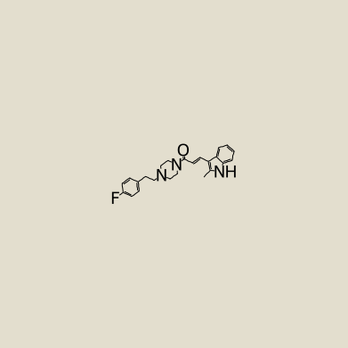 Cc1[nH]c2ccccc2c1C=CC(=O)N1CCN(CCc2ccc(F)cc2)CC1